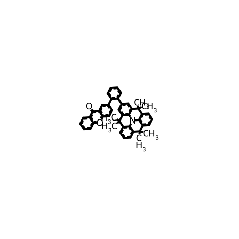 CC1(C)c2cccc3c2N2c4c1cccc4C(C)(C)c1cc(-c4ccccc4-c4ccc5oc6ccccc6c(=O)c5c4)cc(c12)C3(C)C